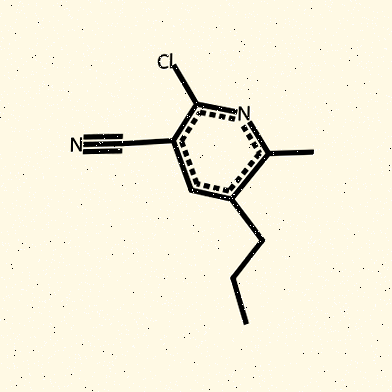 CCCc1cc(C#N)c(Cl)nc1C